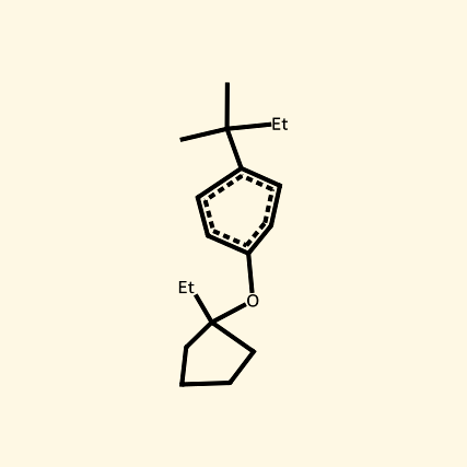 CCC1(Oc2ccc(C(C)(C)CC)cc2)CCCC1